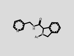 CC(=O)N1Cc2ccccc2C1C(=O)NCc1cccnc1